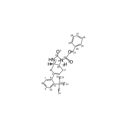 O=C1N[C@H]2CC(c3ccccc3C(F)(F)F)=CC[C@@H]2N1C(=O)OCc1ccccc1